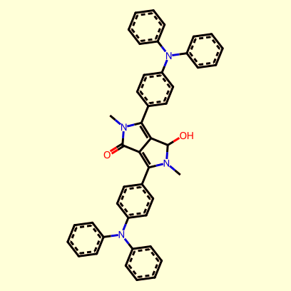 CN1C(=O)C2=C(c3ccc(N(c4ccccc4)c4ccccc4)cc3)N(C)C(O)C2=C1c1ccc(N(c2ccccc2)c2ccccc2)cc1